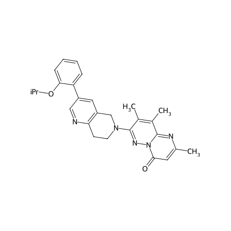 Cc1cc(=O)n2nc(N3CCc4ncc(-c5ccccc5OC(C)C)cc4C3)c(C)c(C)c2n1